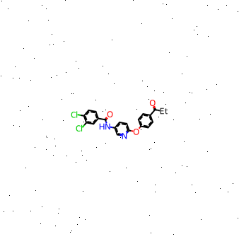 CCC(=O)c1ccc(Oc2ccc(NC(=O)c3ccc(Cl)c(Cl)c3)cn2)cc1